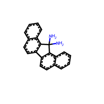 NC1(N)c2c(ccc3ccccc23)-c2ccc3ccccc3c21